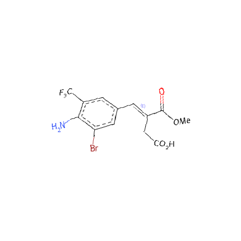 COC(=O)/C(=C/c1cc(Br)c(N)c(C(F)(F)F)c1)CC(=O)O